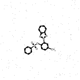 Cc1ccc(OS(=O)(=O)c2ccccc2)c(-n2nc3ccccc3n2)c1